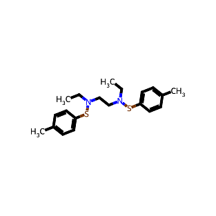 CCN(CCN(CC)Sc1ccc(C)cc1)Sc1ccc(C)cc1